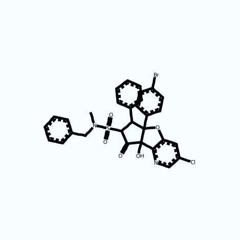 CN(Cc1ccccc1)S(=O)(=O)C1C(=O)C2(O)c3ncc(Cl)cc3OC2(c2ccc(Br)cc2)C1c1ccccc1